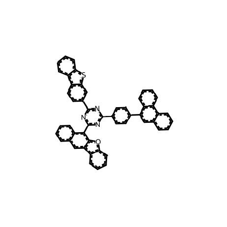 c1ccc2c(-c3nc(-c4ccc(-c5cc6ccccc6c6ccccc56)cc4)nc(-c4ccc5c(c4)sc4ccccc45)n3)c3oc4ccccc4c3cc2c1